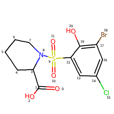 O=C(O)C1CCCCN1S(=O)(=O)c1cc(Cl)cc(Br)c1O